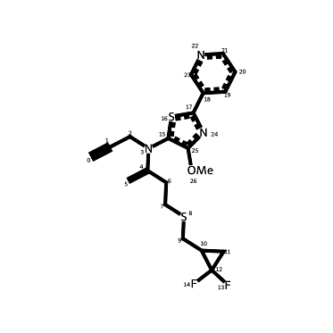 C#CCN(C(=C)CCSCC1CC1(F)F)c1sc(-c2cccnc2)nc1OC